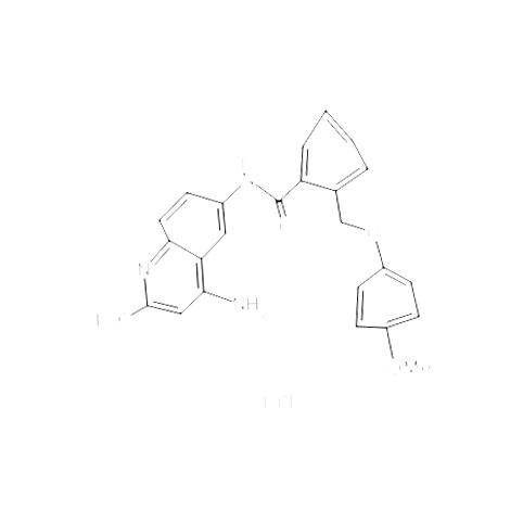 COc1ccc(OCc2ccccc2C(=O)Nc2ccc3nc(C)cc(N)c3c2)cc1.Cl